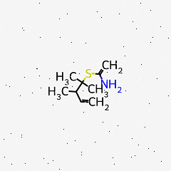 C=CC(C)C(C)(C)SC(=C)N